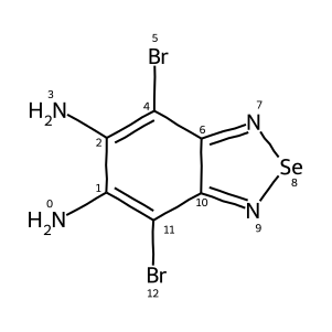 Nc1c(N)c(Br)c2n[se]nc2c1Br